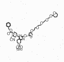 CN1C[C@H](OCCOCCOCCOCCOC2CCCCO2)C[C@H]1COc1nc2c(c(N3CCN(C(=O)OCc4ccccc4)[C@@H](CC#N)C3)n1)CCN(C(=O)OC(C)(C)C)C2